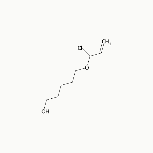 C=CC(Cl)OCCCCCO